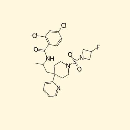 CC(CC1(c2ccccn2)CCN(S(=O)(=O)N2CC(F)C2)CC1)NC(=O)c1ccc(Cl)cc1Cl